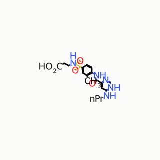 CCCNC1C=C(C(=O)Nc2ccc(S(=O)(=O)NCCC(=O)O)cc2C)N=CN1